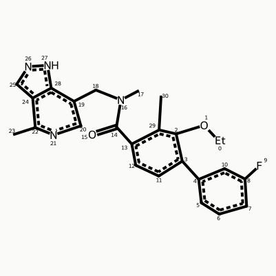 CCOc1c(-c2cccc(F)c2)ccc(C(=O)N(C)Cc2cnc(C)c3cn[nH]c23)c1C